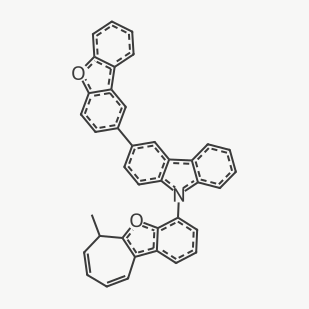 CC1C=CC=Cc2c1oc1c(-n3c4ccccc4c4cc(-c5ccc6oc7ccccc7c6c5)ccc43)cccc21